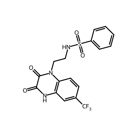 O=c1[nH]c2cc(C(F)(F)F)ccc2n(CCNS(=O)(=O)c2ccccc2)c1=O